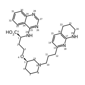 O=C(O)[C@H](CCO[C@@H]1CCCN(CCCc2ccc3c(n2)NCCC3)C1)Nc1ncnc2ccccc12